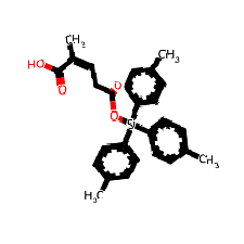 CC(=CCC(=O)O[Si](c1ccc(C)cc1)(c1ccc(C)cc1)c1ccc(C)cc1)C(=O)O